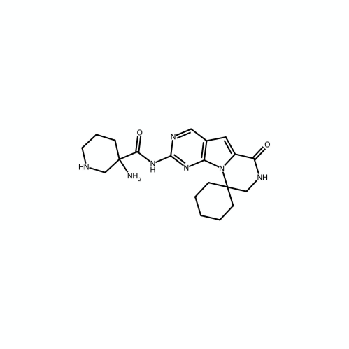 NC1(C(=O)Nc2ncc3cc4n(c3n2)C2(CCCCC2)CNC4=O)CCCNC1